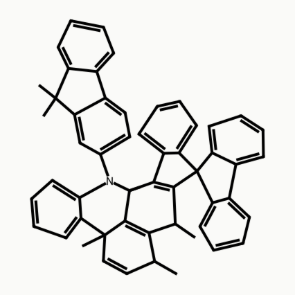 CC1C=CC2(C)C3=C1C(C)C1=C(c4ccccc4C14c1ccccc1-c1ccccc14)C3(C)N(c1ccc3c(c1)C(C)(C)c1ccccc1-3)c1ccccc12